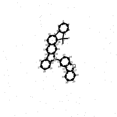 CC1(C)c2ccccc2-c2ccc3cc4c5ccccc5n(-c5ccc6oc7ccccc7c6c5)c4cc3c21